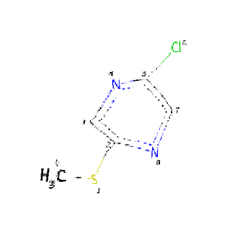 CSc1cnc(Cl)[c]n1